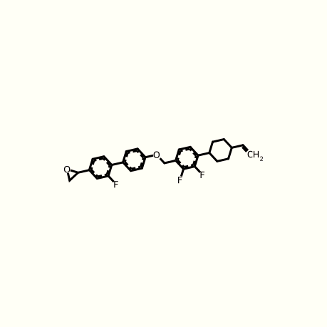 C=CC1CCC(c2ccc(COc3ccc(-c4ccc(C5CO5)cc4F)cc3)c(F)c2F)CC1